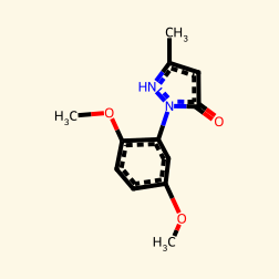 COc1ccc(OC)c(-n2[nH]c(C)cc2=O)c1